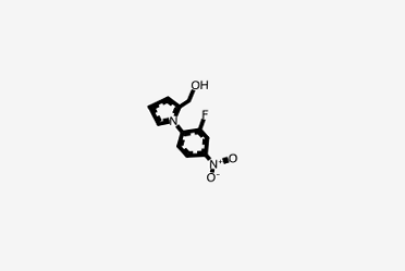 O=[N+]([O-])c1ccc(-n2cccc2CO)c(F)c1